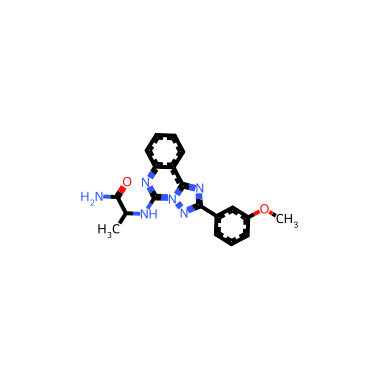 COc1cccc(-c2nc3c4ccccc4nc(NC(C)C(N)=O)n3n2)c1